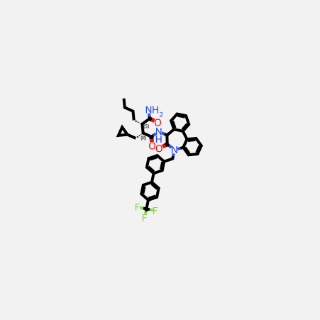 CCCC[C@H](C(N)=O)[C@@H](CC1CC1)C(=O)NC1C(=O)N(Cc2cccc(-c3ccc(C(F)(F)F)cc3)c2)c2ccccc2-c2ccccc21